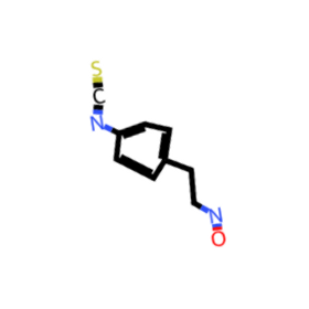 O=NCCc1ccc(N=C=S)cc1